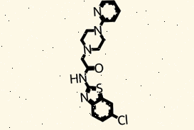 O=C(CN1CCN(c2ccccn2)CC1)Nc1nc2ccc(Cl)cc2s1